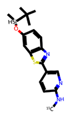 C[SiH](Oc1ccc2nc(-c3ccc(N[11CH3])nc3)sc2c1)C(C)(C)C